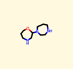 C1CNCC(N2CCCNCC2)OC1